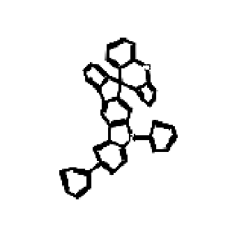 c1ccc(-c2ccc3c(c2)c2cc4c(cc2n3-c2ccccc2)C2(c3ccccc3Oc3ccccc32)c2ccccc2-4)cc1